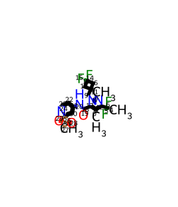 Cc1c(C(C)(F)F)nn(CC2(C)CC(F)(F)C2)c1C(=O)Nc1ccnc(S(C)(=O)=O)c1